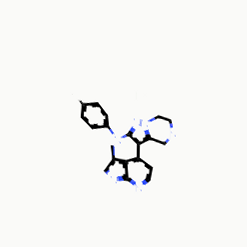 Cc1c[nH]c2nccc(-c3c(Nc4ccc(C(F)(F)F)cc4)nn4c3CNCC4)c12.Cl